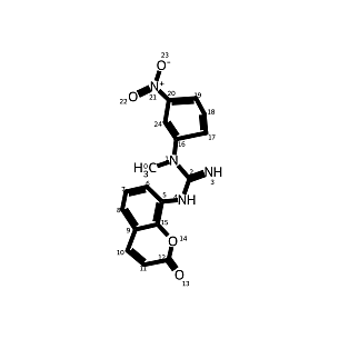 CN(C(=N)Nc1cccc2ccc(=O)oc12)c1cccc([N+](=O)[O-])c1